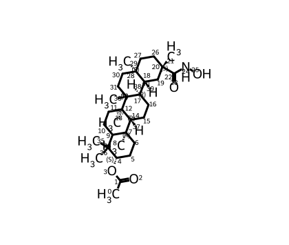 CC(=O)O[C@H]1CC[C@@]2(C)C(CC[C@]3(C)[C@@H]2CC[C@@H]2[C@H]4C[C@@](C)(C(=O)NO)CC[C@]4(C)CC[C@]23C)C1(C)C